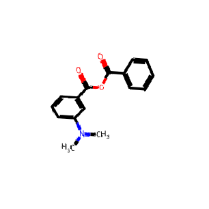 CN(C)c1cccc(C(=O)OC(=O)c2ccccc2)c1